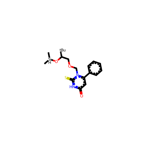 C[SiH](C)OC(COCn1c(-c2ccccc2)cc(=O)[nH]c1=S)C(C)(C)C